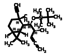 C#C[C@@]1(C)CC[C@@H]2[C@H]([C@@H]1[C@H](O[Si](C)(C)C(C)(C)C)[C@H](C)C=C=C)C2(C)C